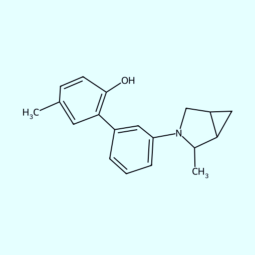 Cc1ccc(O)c(-c2cccc(N3CC4CC4C3C)c2)c1